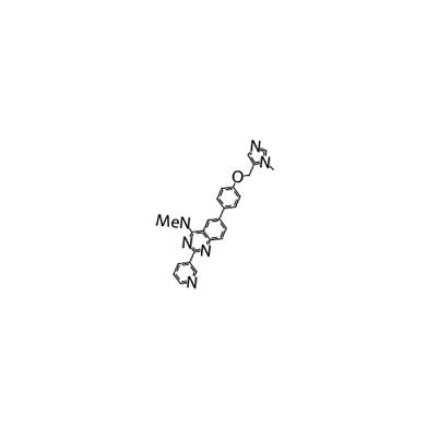 CNc1nc(-c2cccnc2)nc2ccc(-c3ccc(OCc4cncn4C)cc3)cc12